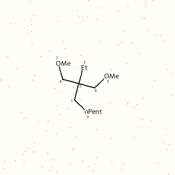 CCCCCCC(CC)(COC)COC